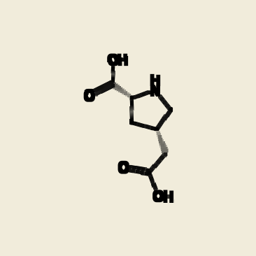 O=C(O)C[C@H]1CN[C@@H](C(=O)O)C1